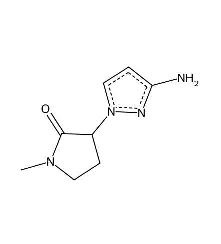 CN1CCC(n2ccc(N)n2)C1=O